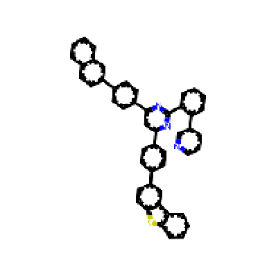 c1cncc(-c2ccccc2-c2nc(-c3ccc(-c4ccc5ccccc5c4)cc3)cc(-c3ccc(-c4ccc5sc6ccccc6c5c4)cc3)n2)c1